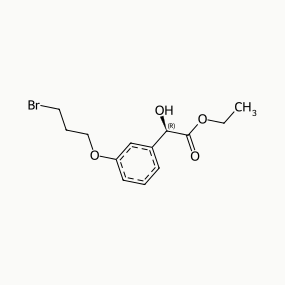 CCOC(=O)[C@H](O)c1cccc(OCCCBr)c1